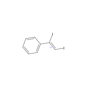 I/C=C(\I)c1ccccc1